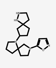 c1cc(N2CCC3(CCCN3C3CCC4(CCNN4)C3)C2)on1